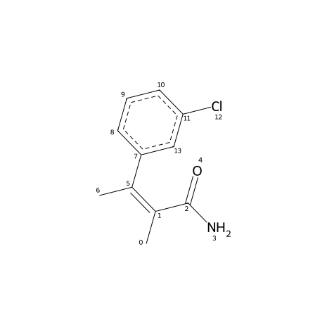 CC(C(N)=O)=C(C)c1cccc(Cl)c1